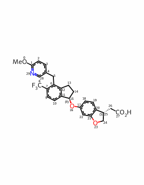 COc1ccc(Cc2c(C(F)(F)F)ccc3c2CC[C@H]3Oc2ccc3c(c2)OC[C@H]3CC(=O)O)cn1